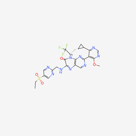 CCS(=O)(=O)c1cnc(CNc2nc3cnc(-c4c(OC)ncnc4C4CC4)nc3n([C@@H](C)C(F)(F)F)c2=O)nc1